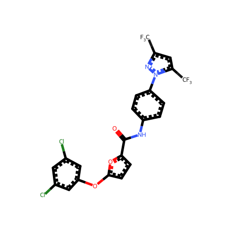 O=C(Nc1ccc(-n2nc(C(F)(F)F)cc2C(F)(F)F)cc1)c1ccc(Oc2cc(Cl)cc(Cl)c2)o1